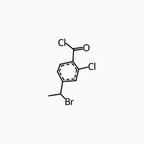 CC(Br)c1ccc(C(=O)Cl)c(Cl)c1